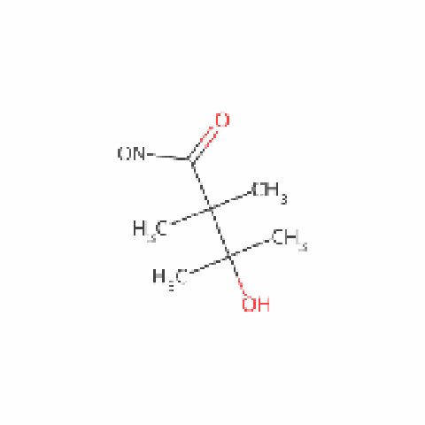 CC(C)(O)C(C)(C)C(=O)N=O